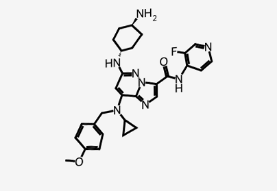 COc1ccc(CN(c2cc(N[C@H]3CC[C@H](N)CC3)nn3c(C(=O)Nc4ccncc4F)cnc23)C2CC2)cc1